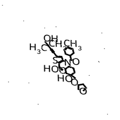 CC1=CCC(C(=O)N(c2cc(C#CC(C)(C)CO)sc2C(=O)O)C2CCC(O)(CO[C@H]3CCOC3)CC2)CC1